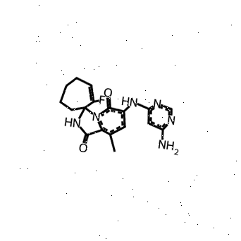 Cc1cc(Nc2cc(N)ncn2)c(=O)n2c1C(=O)NC21CCCCC=C1F